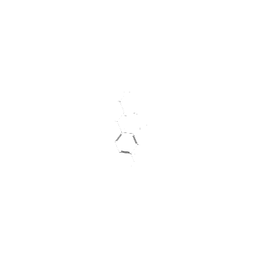 Cl.N[C@@H](CO)Cc1ccc(I)cc1